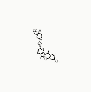 Cc1nn(C(C)c2ccc(Cl)cc2Cl)c2nc(N3CC([C@H]4CCCN(CC(=O)O)C4)C3)cnc12